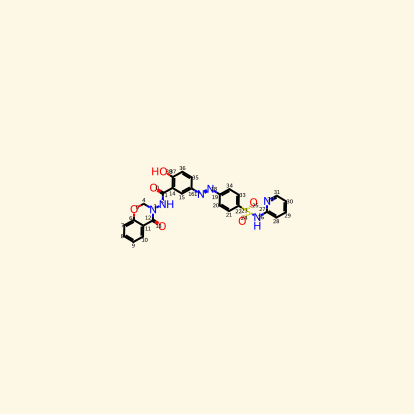 O=C(NN1COc2ccccc2C1=O)c1cc(/N=N/c2ccc(S(=O)(=O)Nc3ccccn3)cc2)ccc1O